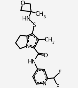 Cc1c(SNC2(C)COC2)c2n(c1C(=O)Nc1ccnc(C(F)F)c1)CCC2